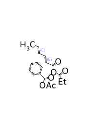 C/C=C/C=C/C(=O)OC(=O)CC.CC(=O)OC(=O)c1ccccc1